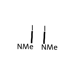 CNI.CNI